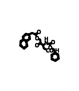 O=C(O)CC(NC(=O)OCc1ccccc1)C(=O)COC(=O)Cc1ccc2ccccc2c1